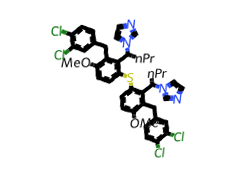 CCCC(c1c(Sc2ccc(OC)c(Cc3ccc(Cl)c(Cl)c3)c2C(CCC)n2ccnc2)ccc(OC)c1Cc1ccc(Cl)c(Cl)c1)n1ccnc1